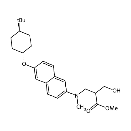 COC(=O)C(CO)CN(C)c1ccc2cc(O[C@H]3CC[C@H](C(C)(C)C)CC3)ccc2c1